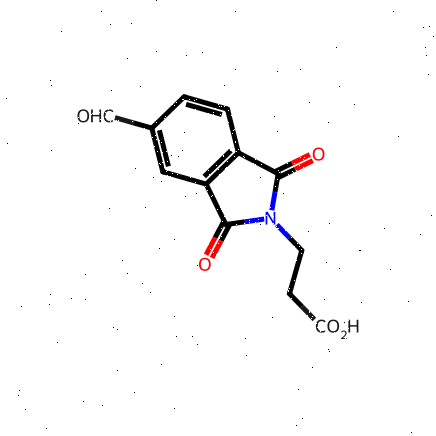 O=Cc1ccc2c(c1)C(=O)N(CCC(=O)O)C2=O